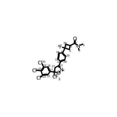 CN(C)C(=O)C1CC(F)(c2ccc(C3=NOC(c4cc(Cl)c(Cl)c(Cl)c4)(C(F)(F)F)C3)cc2)C1